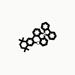 CC1(C)CCC(C)(C)c2cc(-c3cccc4c3-c3ccccc3[Si]43c4ccccc4-c4ccccc43)c(Cl)cc21